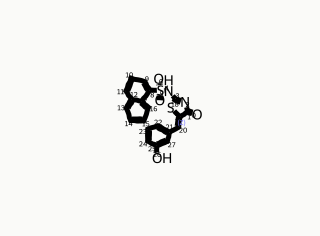 O=C1N=C(NS(=O)(=O)c2cccc3ccccc23)S/C1=C\c1cccc(O)c1